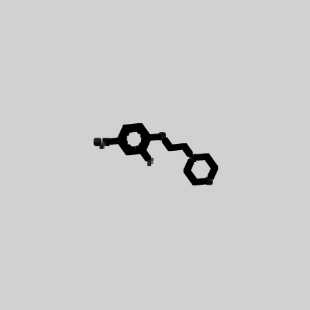 O=[N+]([O-])c1ccc(OCCN2CCOCC2)c(F)c1